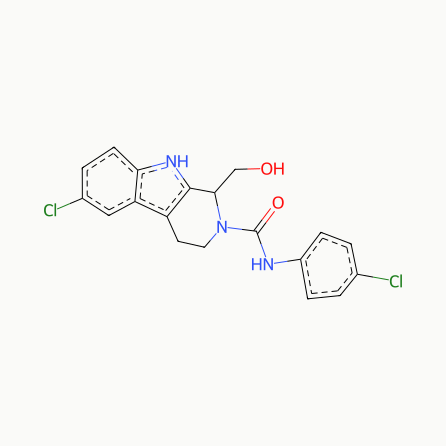 O=C(Nc1ccc(Cl)cc1)N1CCc2c([nH]c3ccc(Cl)cc23)C1CO